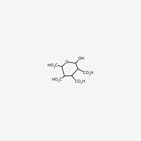 O=C(O)C1OC(O)C(C(=O)O)C(C(=O)O)C1C(=O)O